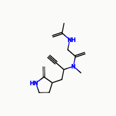 C#CC(CC1CCNC1=C)N(C)C(=C)CNC(=C)C